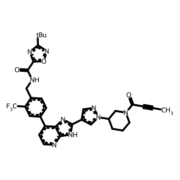 CC#CC(=O)N1CCCC(n2cc(-c3nc4c(-c5ccc(CNC(=O)c6nc(C(C)(C)C)no6)c(C(F)(F)F)c5)ccnc4[nH]3)cn2)C1